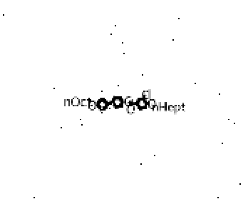 CCCCCCCCOc1ccc(-c2ccc(OC(=O)c3ccc(OCCCCCCC)c(Cl)c3)cc2)cc1